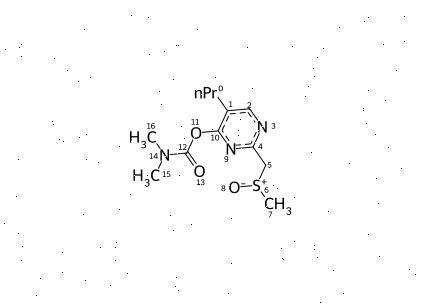 CCCc1cnc(C[S+](C)[O-])nc1OC(=O)N(C)C